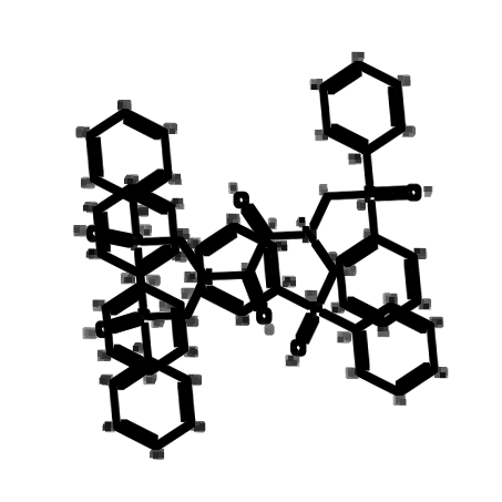 O=C(C(=O)N(CP(=O)(c1ccccc1)c1ccccc1)CP(=O)(c1ccccc1)c1ccccc1)N(CP(=O)(c1ccccc1)c1ccccc1)CP(=O)(c1ccccc1)c1ccccc1